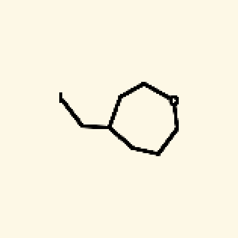 ICC1CCCOCC1